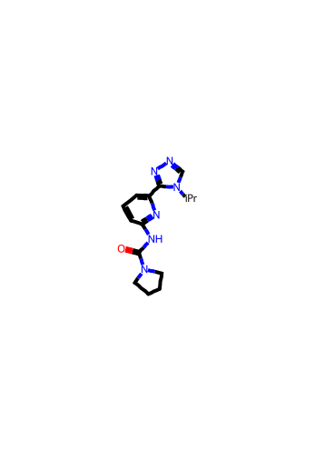 CC(C)n1cnnc1-c1cccc(NC(=O)N2CCCC2)n1